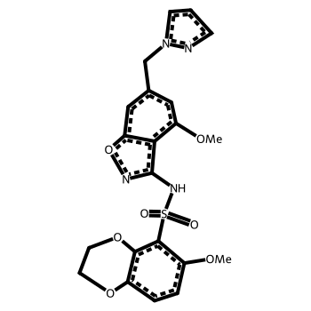 COc1ccc2c(c1S(=O)(=O)Nc1noc3cc(Cn4cccn4)cc(OC)c13)OCCO2